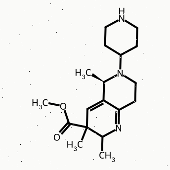 COC(=O)C1(C)C=C2C(=NC1C)CCN(C1CCNCC1)[C@@H]2C